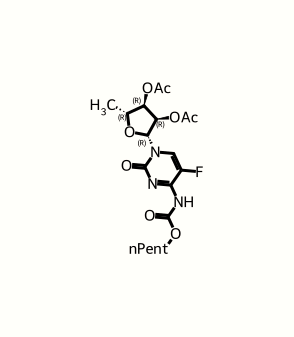 CCCCCOC(=O)Nc1nc(=O)n([C@@H]2O[C@H](C)[C@@H](OC(C)=O)[C@H]2OC(C)=O)cc1F